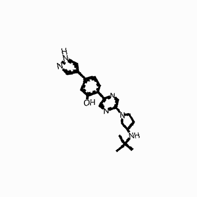 CC(C)(C)NC1CCN(c2cnc(-c3ccc(-c4cn[nH]c4)cc3O)cn2)C1